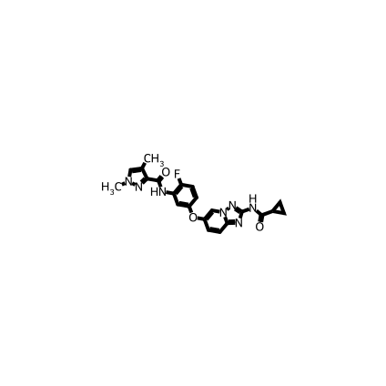 Cc1cn(C)nc1C(=O)Nc1cc(Oc2ccc3nc(NC(=O)C4CC4)nn3c2)ccc1F